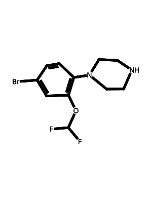 FC(F)Oc1cc(Br)ccc1N1CCNCC1